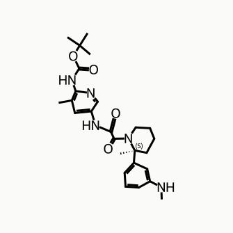 CNc1cccc([C@]2(C)CCCCN2C(=O)C(=O)Nc2cnc(NC(=O)OC(C)(C)C)c(C)c2)c1